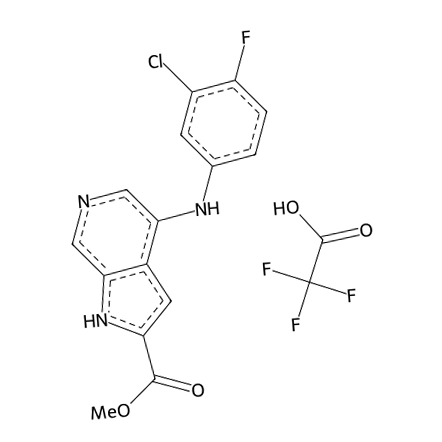 COC(=O)c1cc2c(Nc3ccc(F)c(Cl)c3)cncc2[nH]1.O=C(O)C(F)(F)F